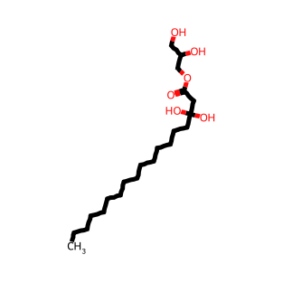 CCCCCCCCCCCCCCCC(O)(O)CC(=O)OCC(O)CO